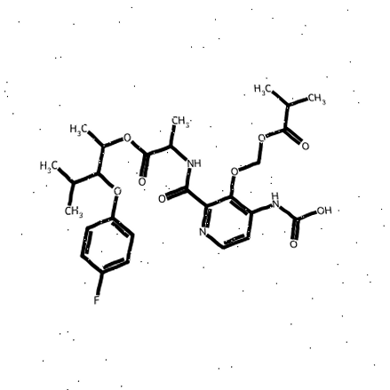 CC(C)C(=O)OCOc1c(NC(=O)O)ccnc1C(=O)NC(C)C(=O)OC(C)C(Oc1ccc(F)cc1)C(C)C